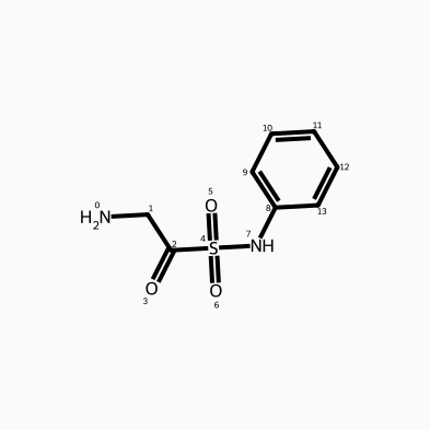 NCC(=O)S(=O)(=O)Nc1ccccc1